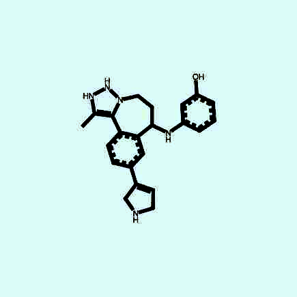 CC1=C2c3ccc(C4=CCNC4)cc3C(Nc3cccc(O)c3)CCN2NN1